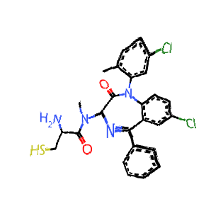 Cc1ccc(Cl)cc1N1C(=O)C(N(C)C(=O)C(N)CS)N=C(c2ccccc2)c2cc(Cl)ccc21